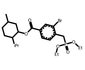 CCOP(=O)(Cc1ccc(C(=O)OC2CC(C)CCC2C(C)C)cc1Br)OCC